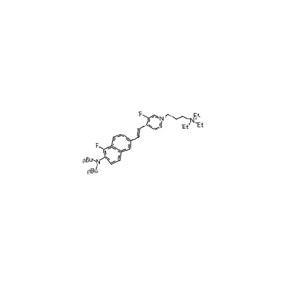 CCCCN(CCCC)c1ccc2cc(/C=C/c3cc[n+](CCC[N+](CC)(CC)CC)cc3F)ccc2c1F